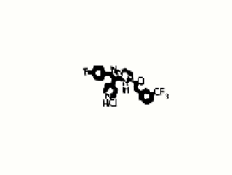 Cl.O=C(Cc1cccc(C(F)(F)F)c1)N1CCn2nc(-c3ccc(F)cc3)c(-c3ccncc3)c2N1